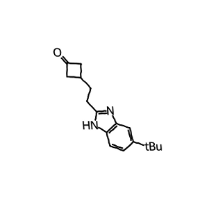 CC(C)(C)c1ccc2[nH]c(CCC3CC(=O)C3)nc2c1